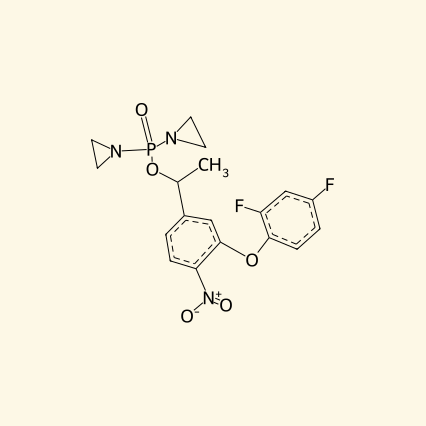 CC(OP(=O)(N1CC1)N1CC1)c1ccc([N+](=O)[O-])c(Oc2ccc(F)cc2F)c1